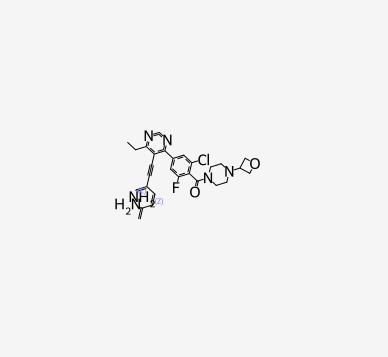 C=C(N)/C=C\C(C#Cc1c(CC)ncnc1-c1cc(F)c(C(=O)N2CCN(C3COC3)CC2)c(Cl)c1)=C/N